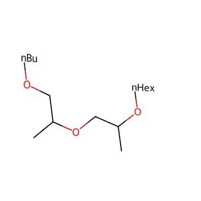 CCCCCCOC(C)COC(C)COCCCC